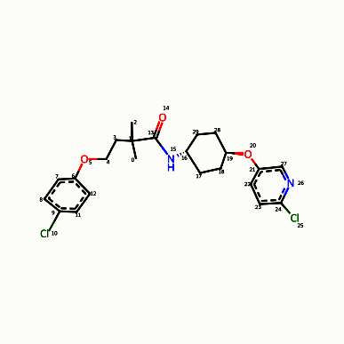 CC(C)(CCOc1ccc(Cl)cc1)C(=O)N[C@H]1CC[C@H](Oc2ccc(Cl)nc2)CC1